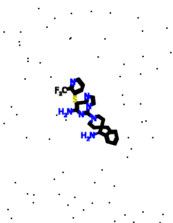 Nc1nc(N2CCC3(CC2)Cc2ccccc2[C@H]3N)n2ccnc2c1Sc1cccnc1C(F)(F)F